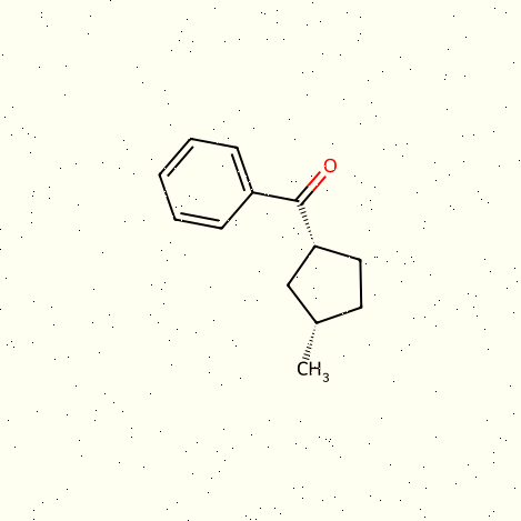 C[C@H]1CC[C@@H](C(=O)c2ccccc2)C1